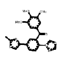 COc1cc(C(=O)c2cc(-c3csc(C)n3)ccc2-n2cncn2)cc(OC)c1OC